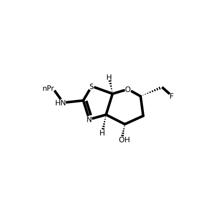 CCCNC1=N[C@H]2[C@H](O[C@H](CF)C[C@@H]2O)S1